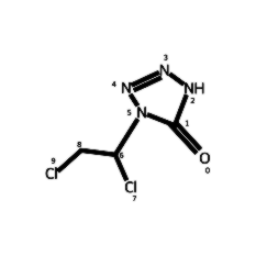 O=c1[nH]nnn1C(Cl)CCl